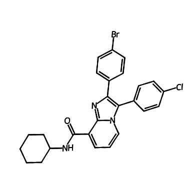 O=C(NC1CCCCC1)c1cccn2c(-c3ccc(Cl)cc3)c(-c3ccc(Br)cc3)nc12